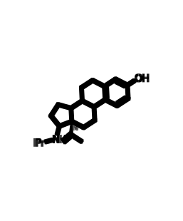 C=C(C)[C@]12CCC3c4ccc(O)cc4CCC3C1CCC2NC(C)C